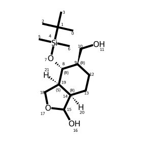 CC(C)(C)[Si](C)(C)O[C@@H]1[C@@H](CO)CC[C@H]2C(O)OC[C@@H]12